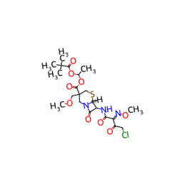 COCC1(C(=O)OC(C)OC(=O)C(C)(C)C)CS[C@@H]2C(NC(=O)C(=NOC)C(=O)CCl)C(=O)N2C1